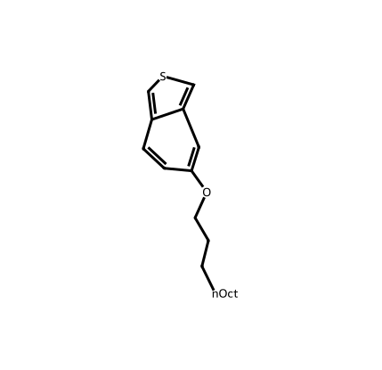 CCCCCCCCCCCOc1ccc2cscc2c1